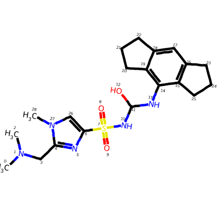 CN(C)Cc1nc(S(=O)(=O)NC(O)Nc2c3c(cc4c2CCC4)CCC3)cn1C